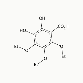 CCOc1c(O)c(O)c(C(=O)O)c(OCC)c1OCC